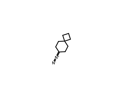 [N-]=[N+]=C1CCC2(CCC2)CC1